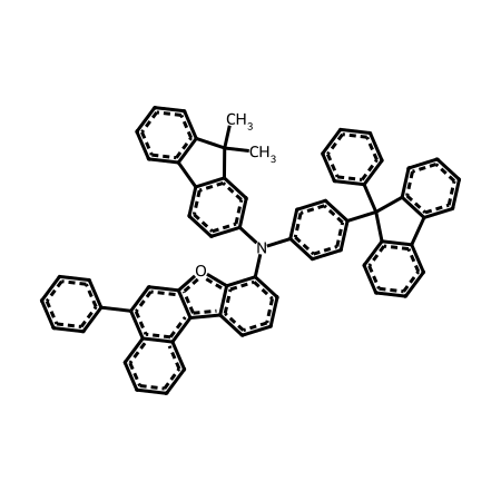 CC1(C)c2ccccc2-c2ccc(N(c3ccc(C4(c5ccccc5)c5ccccc5-c5ccccc54)cc3)c3cccc4c3oc3cc(-c5ccccc5)c5ccccc5c34)cc21